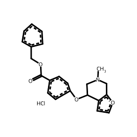 CN1Cc2occc2C(Oc2ccc(C(=O)OCc3ccccc3)cc2)C1.Cl